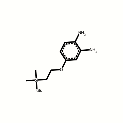 CC(C)(C)[Si](C)(C)CCOc1ccc(N)c(N)c1